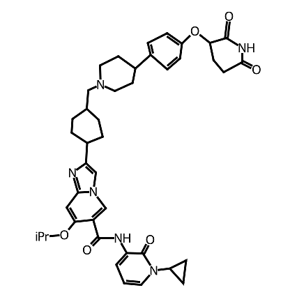 CC(C)Oc1cc2nc(C3CCC(CN4CCC(c5ccc(OC6CCC(=O)NC6=O)cc5)CC4)CC3)cn2cc1C(=O)Nc1cccn(C2CC2)c1=O